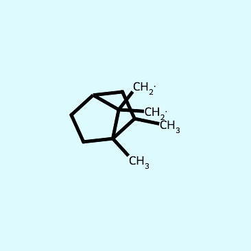 [CH2]C1([CH2])C2CCC1(C)C(C)C2